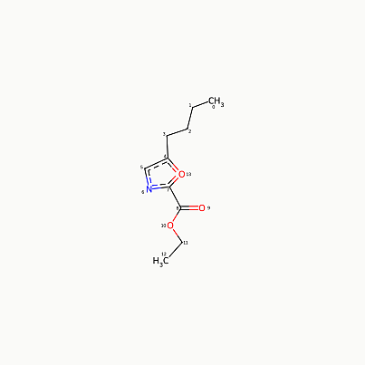 CCCCc1cnc(C(=O)OCC)o1